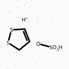 C1=CSSC1.O=S(=O)([O-])O.[H+]